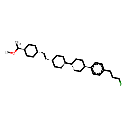 CCOC(C)[C@H]1CC[C@H](CC[C@H]2CC[C@H]([C@H]3CC[C@H](c4ccc(CCCF)cc4)CC3)CC2)CC1